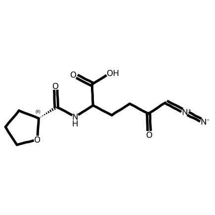 [N-]=[N+]=CC(=O)CCC(NC(=O)[C@H]1CCCO1)C(=O)O